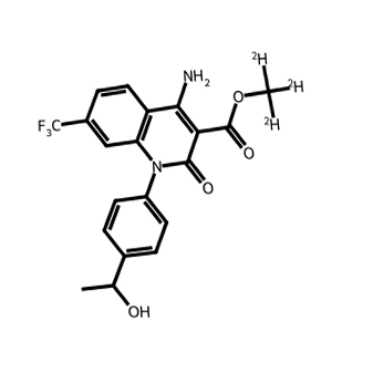 [2H]C([2H])([2H])OC(=O)c1c(N)c2ccc(C(F)(F)F)cc2n(-c2ccc(C(C)O)cc2)c1=O